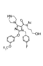 CC(=O)N(CCCO)C(=O)c1c(N2CCNCC2)nc(Oc2cccc(OC(F)(F)F)c2)n1Cc1ccc(F)cc1